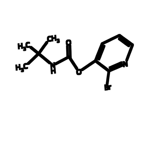 CC(C)(C)NC(=O)Oc1cccnc1Br